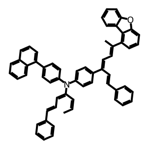 C\C=C/C(=C\C=C\c1ccccc1)N(c1ccc(C(/C=C/c2ccccc2)=C/C=C(\C)c2cccc3oc4ccccc4c23)cc1)c1ccc(-c2cccc3ccccc23)cc1